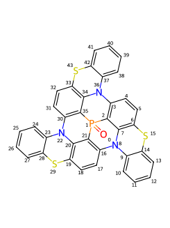 O=P12c3c4ccc5c3N(c3ccccc3S5)c3ccc5c(c31)N(c1ccccc1S5)c1ccc3c(c12)N4c1ccccc1S3